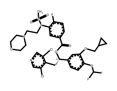 CS(=O)(=O)N(CCN1CCOCC1)c1cc(C(=O)O[C@@H](Cc2c(Cl)cncc2Cl)c2ccc(OC(F)F)c(OCC3CC3)c2)ccc1F